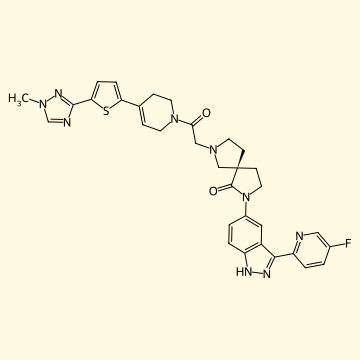 Cn1cnc(-c2ccc(C3=CCN(C(=O)CN4CC[C@]5(CCN(c6ccc7[nH]nc(-c8ccc(F)cn8)c7c6)C5=O)C4)CC3)s2)n1